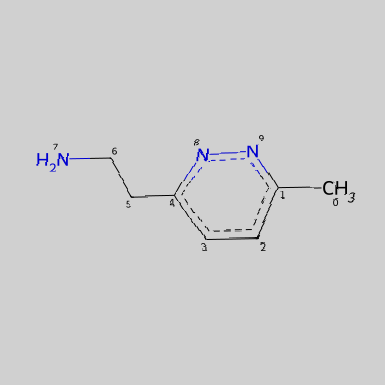 Cc1ccc(CCN)nn1